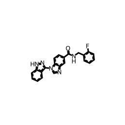 O=C(NCc1ccccc1F)c1ccc2c(c1)ncn2-c1n[nH]c2ccccc12